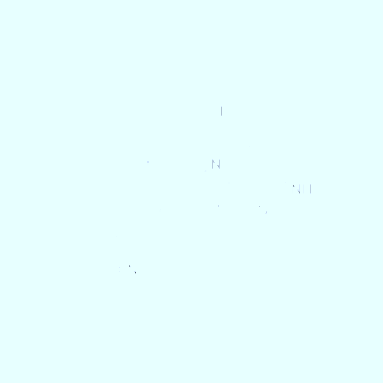 CCC12CNC(CN1Cc1cccc(C#N)c1)C2